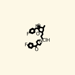 CC1CC(CCCN2CCC(C(=O)c3ccc(F)cc3)CC2)C(=O)c2c(-c3ccc(F)cc3)noc21.Cl